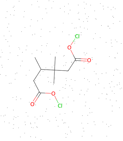 CC(CC(=O)OCl)C(C)(C)CC(=O)OCl